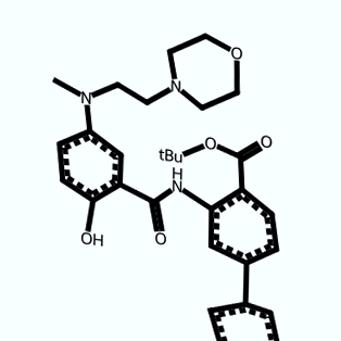 CN(CCN1CCOCC1)c1ccc(O)c(C(=O)Nc2cc(-c3ccccc3)ccc2C(=O)OC(C)(C)C)c1